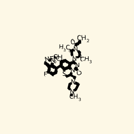 C=CC(=O)N1C[C@H](C)N(c2nc(=O)n3c4c(c(-c5ccc(F)c6cnn(C)c56)c(C(F)(F)F)cc24)SCC3CN2CCN(C)CC2)C[C@H]1C